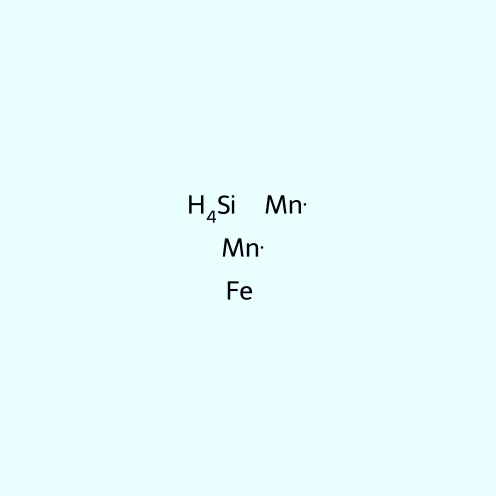 [Fe].[Mn].[Mn].[SiH4]